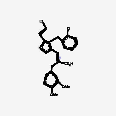 CCC=Cc1ncc(/C=C(\Cc2ccc(OC)c(OC)c2)C(=O)O)n1Cc1ccccc1Cl